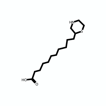 O=C(O)CCCCCCCCCCC1CNCCS1